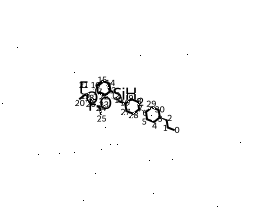 CCC[C@H]1CC[C@H](C2CCC(C[SiH2]c3cccc(OC(C)F)c3OC(C)F)CC2)CC1